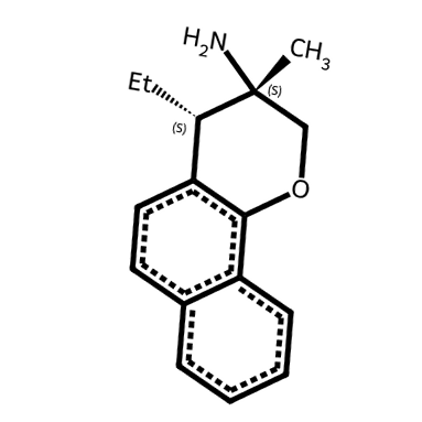 CC[C@H]1c2ccc3ccccc3c2OC[C@@]1(C)N